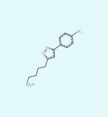 O=S(=O)(O)CCCCc1cc(-c2ccc(C(F)(F)F)cc2)no1